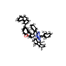 CC1(C)c2ccccc2-c2cccc(-c3nc(-c4ccccc4)nc(-c4ccccc4-c4cccc5oc6ccc(-c7ccc8ccc9ccccc9c8c7)cc6c45)n3)c21